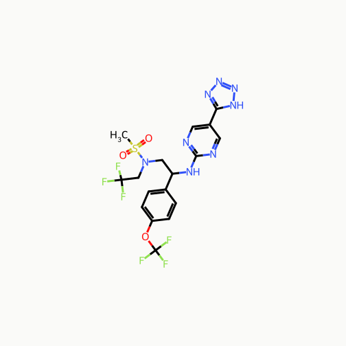 CS(=O)(=O)N(CC(Nc1ncc(-c2nnn[nH]2)cn1)c1ccc(OC(F)(F)F)cc1)CC(F)(F)F